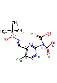 CC(C)(C)[S@+]([O-])N=Cc1nc(N(C(=O)O)C(=O)O)ncc1Cl